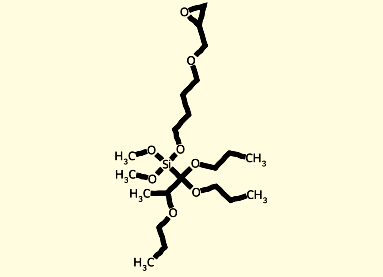 CCCOC(C)C(OCCC)(OCCC)[Si](OC)(OC)OCCCCOCC1CO1